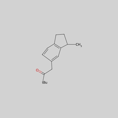 CC1CCc2ccc(CC(=O)C(C)(C)C)cc21